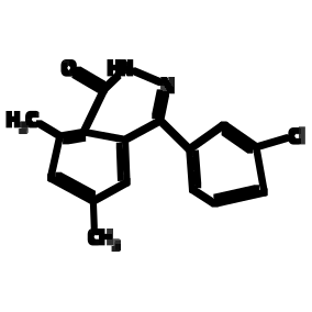 Cc1cc(C)c2c(=O)[nH]nc(-c3cccc(Cl)c3)c2c1